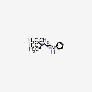 C=C/C(=C\C=C\Nc1ccccc1)C(C)(C)C